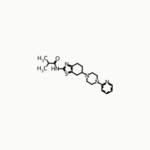 CC(C)C(=O)Nc1nc2c(s1)CC(N1CCN(c3ccccn3)CC1)CC2